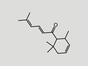 CC(C)=C/C=C/C(=O)C1C(C)C=CCC1(C)C